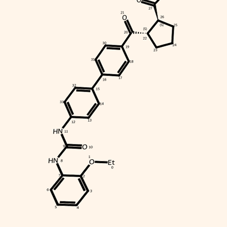 CCOc1ccccc1NC(=O)Nc1ccc(-c2ccc(C(=O)[C@H]3CCC[C@@H]3C(=O)OC)cc2)cc1